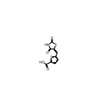 O=C1NC(=O)/C(=C\c2ccc(C(=O)O)s2)S1